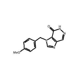 COc1ccc(Cn2cnc3cn[nH]c(=O)c32)cc1